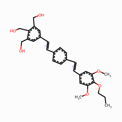 CCCOc1c(OC)cc(/C=C/c2ccc(/C=C/c3cc(CO)c(CO)c(CO)c3)cc2)cc1OC